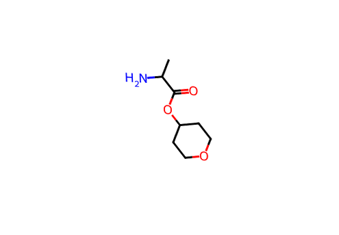 CC(N)C(=O)OC1CCOCC1